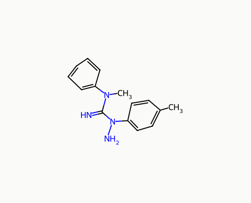 Cc1ccc(N(N)C(=N)N(C)c2ccccc2)cc1